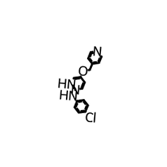 Clc1ccc(NN2C=CC(OCc3ccncc3)=CN2)cc1